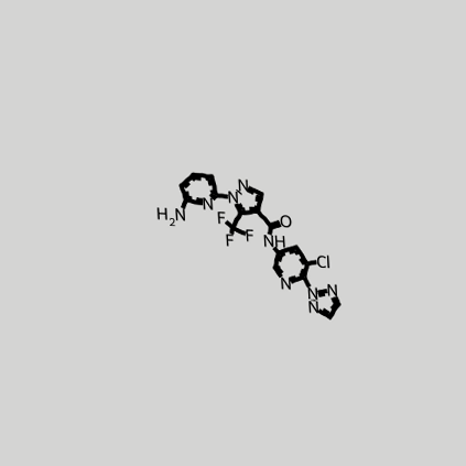 Nc1cccc(-n2ncc(C(=O)Nc3cnc(-n4nccn4)c(Cl)c3)c2C(F)(F)F)n1